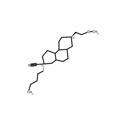 CCCCC[C@]1(C#N)CCC2C(CCC3C[C@H](CCOC)CCC32)C1